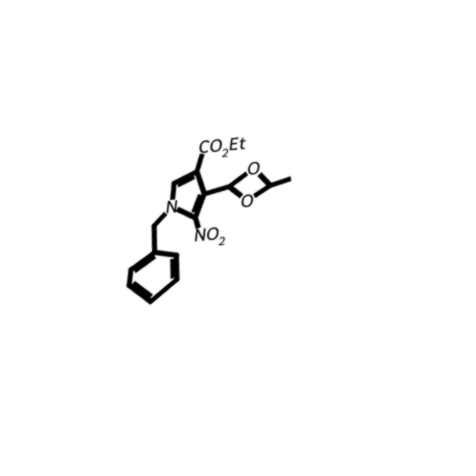 CCOC(=O)c1cn(Cc2ccccc2)c([N+](=O)[O-])c1C1OC(C)O1